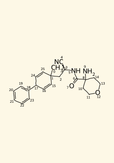 CC1(C[C@@H](C#N)NC(=O)C2(N)CCOCC2)C=CC(c2ccccc2)C=C1